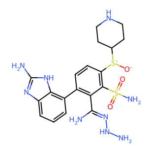 NN/N=C(\N)c1c(-c2cccc3nc(N)[nH]c23)ccc([S+]([O-])C2CCNCC2)c1S(N)(=O)=O